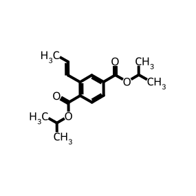 C/C=C/c1cc(C(=O)OC(C)C)ccc1C(=O)OC(C)C